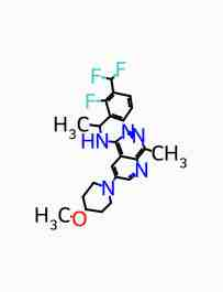 COC1CCN(c2cnc3c(C)nnc(NC(C)c4cccc(C(F)F)c4F)c3c2)CC1